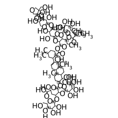 CC[C@H](C)C(=O)O[C@@H]1C(C)O[C@@H](OC(=O)[C@]23CCC(C)(C)CC2C2=CCC4[C@@]5(C)CC[C@H](O[C@@H]6OC(O)(C(=O)O)CC(O[C@@H]7OC(CO)[C@@H](O)C(O)C7O)C6O[C@@H]6OC(CO)[C@H](O)C(O)C6O)C(C)(C)C5CC[C@@]4(C)[C@]2(C)CC3)C(O[C@@H]2OC(C)[C@H](O[C@H]3OCC(O)[C@H](O[C@]4(O)COCC4(O)CO)C3O)C(O)C2O)C1O[C@@H]1OC(C)[C@@H](O)C(O)C1O